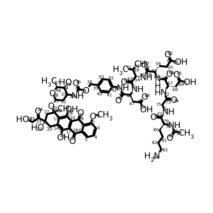 COc1cccc2c1C(=O)c1c(O)c3c(c(O)c1C2=O)C[C@@](O)(C(=O)CO)C[C@]3(C)O[C@H]1CC(NC(=O)OCc2ccc(NC(=O)[C@H](CC(=O)O)NC(=O)[C@@H](NC(=O)[C@H](CCC(=O)O)NC(=O)[C@H](CC(=O)O)NC(=O)CNC(=O)[C@H](CCCCN)NC(C)=O)C(C)C)cc2)[C@H](O)[C@H](C)O1